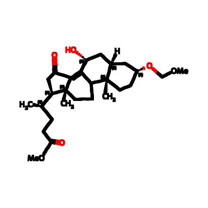 COCO[C@@H]1CC[C@]2(C)C3CC[C@@]4(C)C(=C3[C@H](O)C[C@@H]2C1)C(=O)C[C@@H]4[C@H](C)CCC(=O)OC